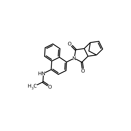 CC(=O)Nc1ccc(N2C(=O)C3C4C=CC(C4)C3C2=O)c2ccccc12